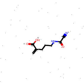 C=C(CCCNC(=O)C#N)C(=O)O